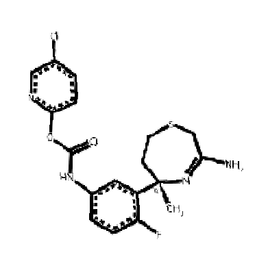 C[C@@]1(c2cc(NC(=O)Oc3ccc(Cl)cn3)ccc2F)CCSCC(N)=N1